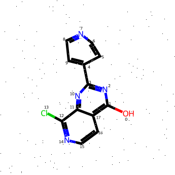 Oc1nc(-c2ccncc2)nc2c(Cl)nccc12